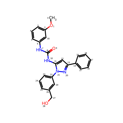 COc1cccc(NC(=O)Nc2cc(-c3ccccc3)nn2-c2cccc(CO)c2)c1